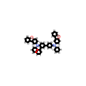 c1ccc(-c2cc(-c3ccc(N(c4ccccc4)c4ccc5oc6ccccc6c5c4)cc3)ccc2N(c2ccccc2)c2ccc3oc4ccccc4c3c2)cc1